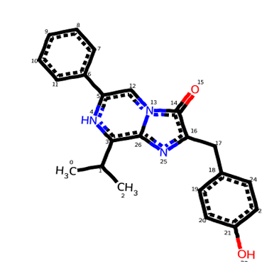 CC(C)c1[nH]c(-c2ccccc2)cn2c(=O)c(Cc3ccc(O)cc3)nc1-2